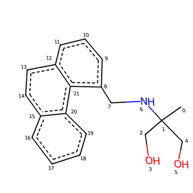 CC(CO)(CO)NCc1cccc2ccc3ccccc3c12